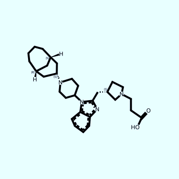 O=C(O)CCN1CC[C@@H](Cc2nc3ccccc3n2C2CCN([C@@H]3C[C@@H]4CCCC[C@@H](C4)C3)CC2)C1